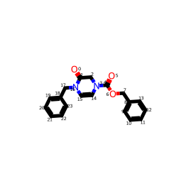 O=C1CN(C(=O)OCc2ccccc2)C=CN1Cc1ccccc1